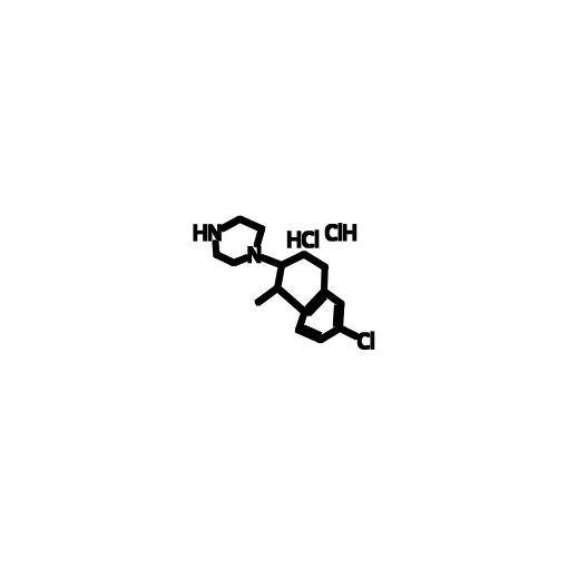 CC1c2ccc(Cl)cc2CCC1N1CCNCC1.Cl.Cl